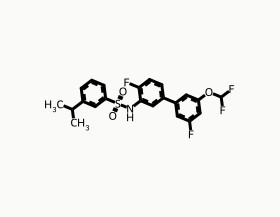 CC(C)c1cccc(S(=O)(=O)Nc2cc(-c3cc(F)cc(OC(F)F)c3)ccc2F)c1